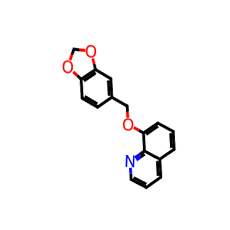 c1cnc2c(OCc3ccc4c(c3)OCO4)cccc2c1